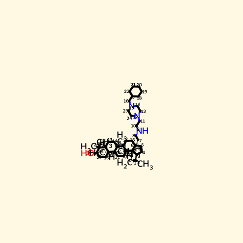 C=C(C)[C@@H]1CC[C@]2(CCNCCN3CCN(CC4CCCCC4)CC3)CC[C@]3(C)[C@H](CC[C@@H]4[C@@]5(C)CC[C@H](O)C(C)(C)[C@@H]5CC[C@]43C)[C@@H]12